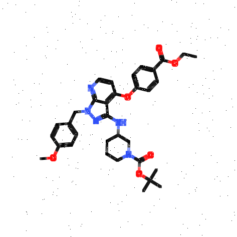 CCOC(=O)c1ccc(Oc2ccnc3c2c(NC2CCCN(C(=O)OC(C)(C)C)C2)nn3Cc2ccc(OC)cc2)cc1